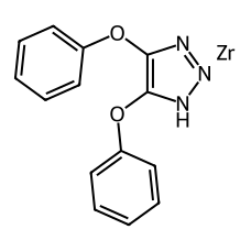 [Zr].c1ccc(Oc2nn[nH]c2Oc2ccccc2)cc1